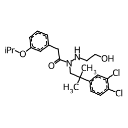 CC(C)Oc1cccc(CC(=O)N(CC(C)(C)c2ccc(Cl)c(Cl)c2)NCCO)c1